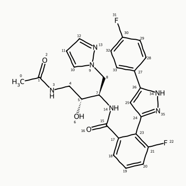 CC(=O)NC[C@@H](O)[C@@H](Cn1cccn1)NC(=O)c1cccc(F)c1-c1cc(-c2ccc(F)cc2)[nH]n1